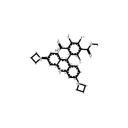 COC(=O)c1c(F)c(F)c(C(=O)O)c(-c2c3ccc(=[N+]4CCC4)cc-3oc3cc(N4CCC4)ccc23)c1F